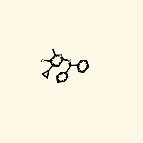 Cc1nc(N=C(c2ccccc2)c2ccccc2)cc(C2CC2)c1Cl